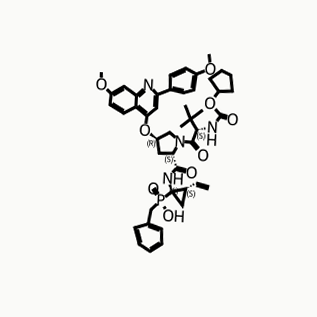 C=C[C@@H]1C[C@]1(NC(=O)[C@@H]1C[C@@H](Oc2cc(-c3ccc(OC)cc3)nc3cc(OC)ccc23)CN1C(=O)[C@@H](NC(=O)OC1CCCC1)C(C)(C)C)P(=O)(O)Cc1ccccc1